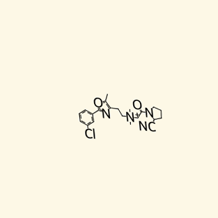 Cc1oc(-c2cccc(Cl)c2)nc1CC[N+](C)(C)CC(=O)N1CCC[C@H]1C#N